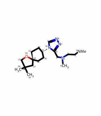 CNCCN(C)Cc1nncn1[C@H]1CC[C@@]2(CC1)CC(C)(C)CO2